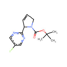 CC(C)(C)OC(=O)N1CC=CC1c1ncc(F)cn1